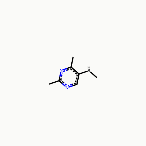 CBc1cnc(C)nc1C